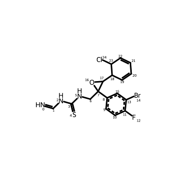 N=CNC(=S)NCC1(c2ccc(F)c(Br)c2)OC1C1C=CC=CC1Cl